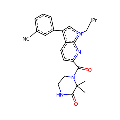 CC(C)Cn1cc(-c2cccc(C#N)c2)c2ccc(C(=O)N3CCNC(=O)C3(C)C)nc21